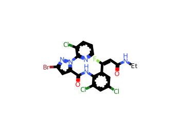 CCNC(=O)/C=C(/F)c1cc(Cl)cc(Cl)c1NC(=O)c1cc(Br)nn1-c1ncccc1Cl